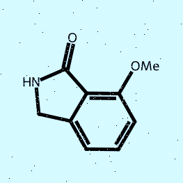 COc1cccc2c1C(=O)NC2